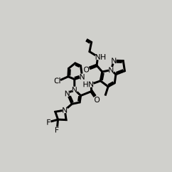 C=CCNC(=O)c1c(NC(=O)c2cc(N3CC(F)(F)C3)nn2-c2ncccc2Cl)c(C)cc2ccnn12